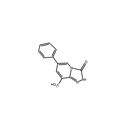 O=C(O)c1cc(-c2ccccc2)cn2c(=O)[nH]nc12